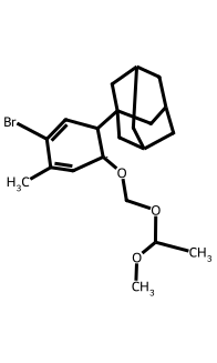 COC(C)OCO[C]1C=C(C)C(Br)=CC1C12CC3CC(CC(C3)C1)C2